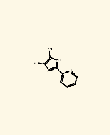 N#Cc1nc(-c2ccccn2)[nH]c1C#N